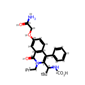 CC(C)Cn1c(C(NC(=O)O)C(C)(C)C)c(-c2ccccc2)c2ccc(OCC(N)=O)cc2c1=O